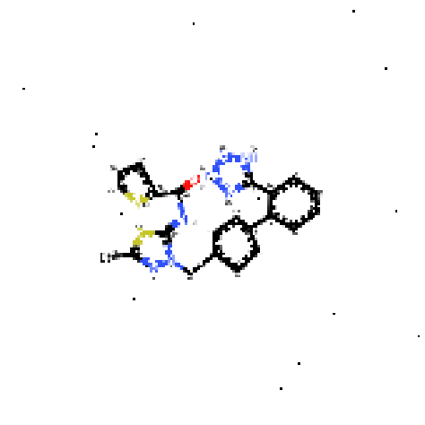 CCc1nn(Cc2ccc(-c3ccccc3-c3nnn[nH]3)cc2)c(=NC(=O)c2cccs2)s1